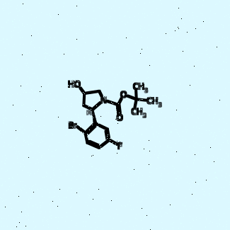 CC(C)(C)OC(=O)N1CC(O)C[C@@H]1c1cc(F)ccc1Br